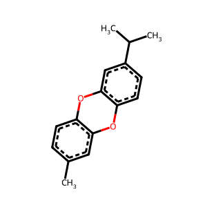 Cc1ccc2c(c1)Oc1ccc(C(C)C)cc1O2